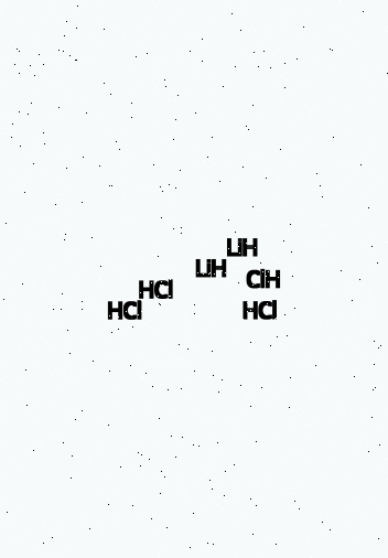 Cl.Cl.Cl.Cl.[LiH].[LiH]